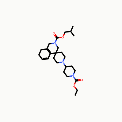 CCOC(=O)N1CCC(N2CCC3(CC2)CN(C(=O)OCC(C)C)CC2=C3C=CCC2)CC1